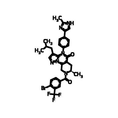 Cc1nc(-c2ccc(-n3c(=O)c4c(n5ncc(CC(C)C)c35)CN(C(=O)c3ccc(Br)c(C(F)(F)F)c3)[C@@H](C)C4)cc2)c[nH]1